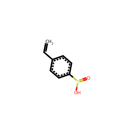 C=Cc1ccc(S(=O)O)cc1